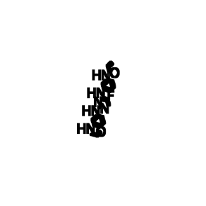 C=CC(=O)Nc1cccc(Nc2nc(Nc3ccc4c(c3)NCCO4)ncc2F)c1